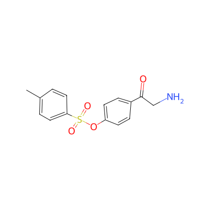 Cc1ccc(S(=O)(=O)Oc2ccc(C(=O)CN)cc2)cc1